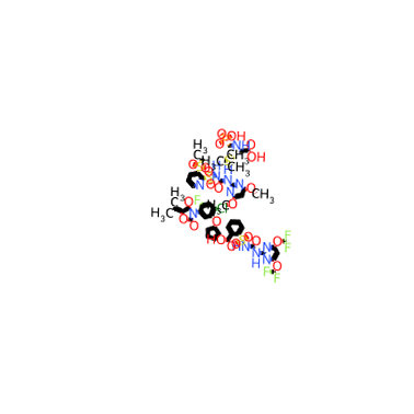 CC(C)=C1OC(=O)N(c2cc(OC3CCCC3)c(Cl)cc2F)C1=O.CCS(=O)(=O)c1cccnc1S(=O)(=O)NC(=O)Nc1nc(OC)cc(OC)n1.C[S+](C)C.O=C(Nc1nc(OC(F)F)cc(OC(F)F)n1)NS(=O)(=O)c1ccccc1C(=O)O.O=C(O)CNCP(=O)([O-])O